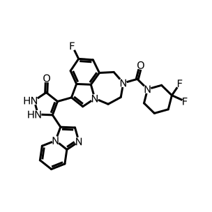 O=C(N1CCn2cc(-c3c(-c4cnc5ccccn45)[nH][nH]c3=O)c3cc(F)cc(c32)C1)N1CCCC(F)(F)C1